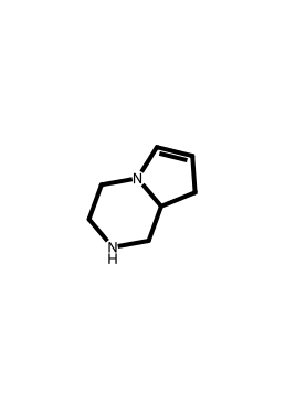 C1=CN2CCNCC2C1